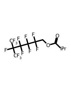 CC(C)C(=O)OCC(F)(F)C(F)(F)C(F)(F)C(F)(C(F)(F)F)C(F)(F)F